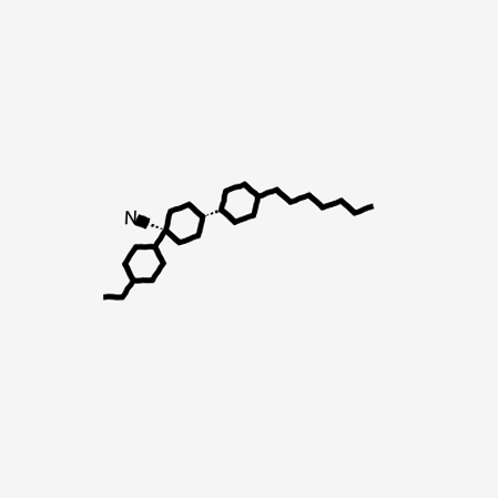 CCCCCCCC1CCC([C@H]2CC[C@](C#N)(C3CCC(CC)CC3)CC2)CC1